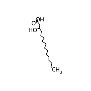 CCCCCCCCCCCCCC(O)CC(=O)O